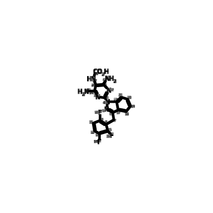 Nc1nc(-n2nc(Cc3c(F)ccc(F)c3F)c3ccccc32)nc(N)c1NC(=O)O